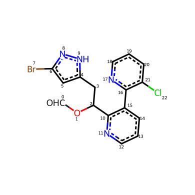 O=COC(Cc1cc(Br)n[nH]1)c1ncccc1-c1ncccc1Cl